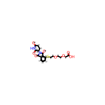 O=C(O)COCCOCCSc1cccc2c1C(=O)N(C1CCC(=O)NC1=O)C2=O